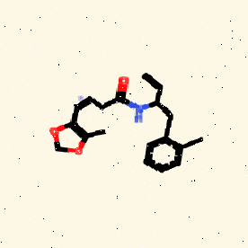 C=CC(Cc1ccccc1C)NC(=O)C/C=C\C1=C(C)OCO1